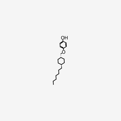 CCCCCCC[C@H]1CC[C@H](COc2ccc(O)cc2)CC1